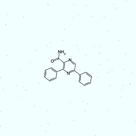 NC(=O)c1ncc(-c2ccccc2)nc1-c1ccccc1